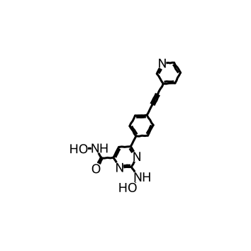 O=C(NO)c1cc(-c2ccc(C#Cc3cccnc3)cc2)nc(NO)n1